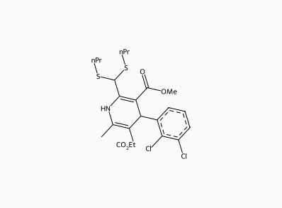 CCCSC(SCCC)C1=C(C(=O)OC)C(c2cccc(Cl)c2Cl)C(C(=O)OCC)=C(C)N1